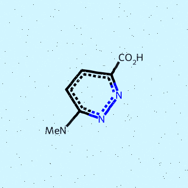 CNc1ccc(C(=O)O)nn1